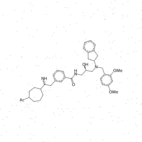 COc1ccc(CN(C[C@H](O)CNC(=O)c2cccc(CC(=N)C3CCCC(C(C)=O)CC3)c2)C2Cc3ccccc3C2)c(OC)c1